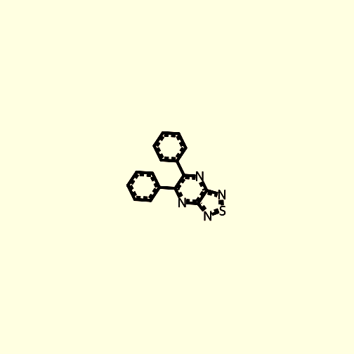 c1ccc(-c2nc3nsnc3nc2-c2ccccc2)cc1